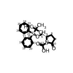 CC(C)(C)[Si](OC[C@@H]1CCC(=O)N1C(=O)O)(c1ccccc1)c1ccccc1